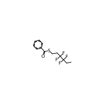 CCC(F)(F)C(F)(F)CCSC(=O)c1ccccc1